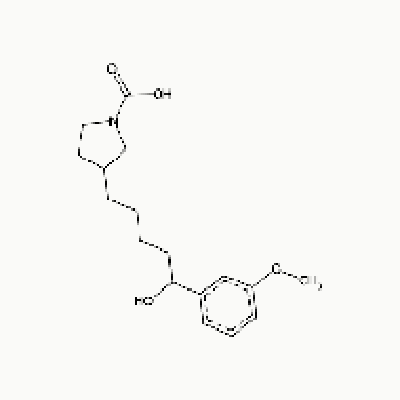 COc1cccc(C(O)CCCCC2CCN(C(=O)O)C2)c1